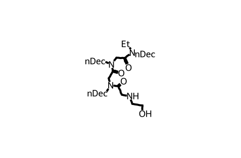 CCCCCCCCCCN(CC)C(=O)CN(CCCCCCCCCC)C(=O)CN(CCCCCCCCCC)C(=O)CNCCO